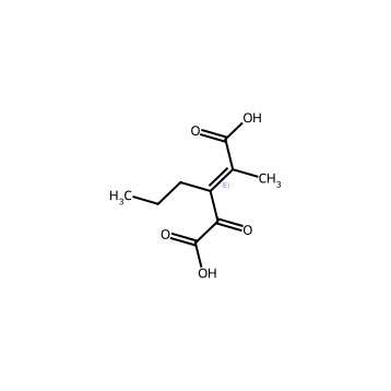 CCC/C(C(=O)C(=O)O)=C(/C)C(=O)O